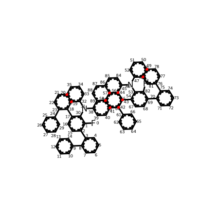 Fc1c(-c2ccccc2-c2ccccc2)ccc(-c2ccccc2-c2ccccc2)c1N(c1ccccc1)c1ccc2ccc3c(N(c4ccccc4)c4c(-c5ccccc5-c5ccccc5)ccc(-c5ccccc5-c5ccccc5)c4F)ccc4ccc1c2c43